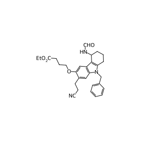 CCOC(=O)CCCOc1cc2c3c(n(Cc4ccccc4)c2cc1CCC#N)CCCC3NC=O